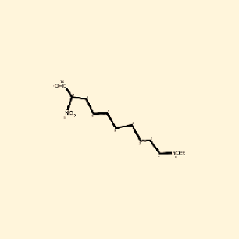 CCCCCCCCCCCCCCCCC([C]=O)[N+](=O)[O-]